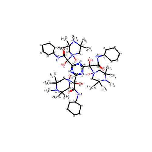 CN1C(C)(C)C[N+]([O-])(C(O)(C(=O)NC2CCCCC2)c2nc(C(O)(C(=O)NC3CCCCC3)[N+]3([O-])CC(C)(C)N(C)C(C)(C)C3)nc(C(O)(C(=O)NC3CCCCC3)[N+]3([O-])CC(C)(C)N(C)C(C)(C)C3)n2)CC1(C)C